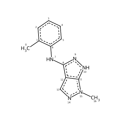 Cc1ccccc1Nc1n[nH]c2c1cnn2C